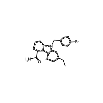 CCc1c[c]c2c3c(C(N)=O)cccc3n(Cc3ccc(Br)cc3)c2c1